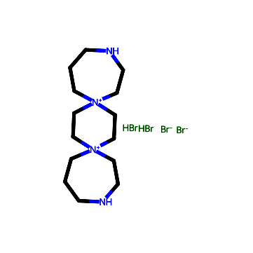 Br.Br.C1CNCC[N+]2(C1)CC[N+]1(CCCNCC1)CC2.[Br-].[Br-]